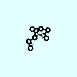 C1=Cc2c(sc3c(-c4ccc5c(c4)c4c6c(ccc4n5-c4nc(-c5ccccc5-c5ccccc5)c5c(n4)=CCCC=5)C=CCC6)cccc23)CC1